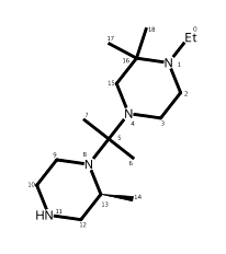 CCN1CCN(C(C)(C)N2CCNC[C@@H]2C)CC1(C)C